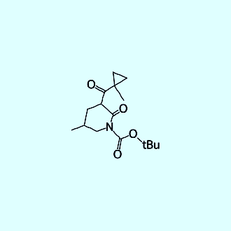 CC1CC(C(=O)C2(C)CC2)C(=O)N(C(=O)OC(C)(C)C)C1